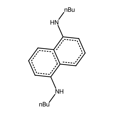 CCCCNc1cccc2c(NCCCC)cccc12